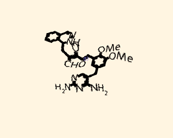 COc1cc(Cc2cnc(N)nc2N)cc(/C=C/C(=O)C(C=O)CC2NN=Cc3ccccc32)c1OC